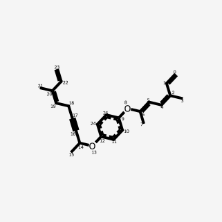 C=C/C(C)=C\C=C(/C)Oc1ccc(OC(C)C#CC/C=C(/C)C=C)cc1